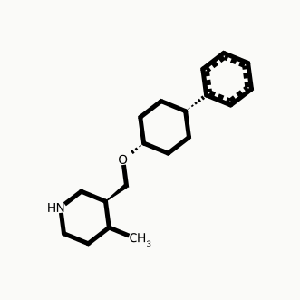 CC1CCNC[C@H]1CO[C@H]1CC[C@@H](c2ccccc2)CC1